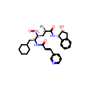 CC(C)[C@H](C[C@H]([PH2]=O)[C@H](CC1CCCCC1)NC(=O)C=Cc1cccnc1)C(=O)N[C@H]1c2ccccc2C[C@H]1O